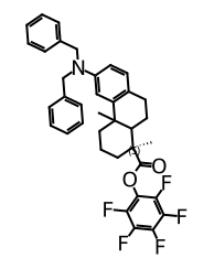 CC12CCC[C@](C)(C(=O)Oc3c(F)c(F)c(F)c(F)c3F)C1CCc1ccc(N(Cc3ccccc3)Cc3ccccc3)cc12